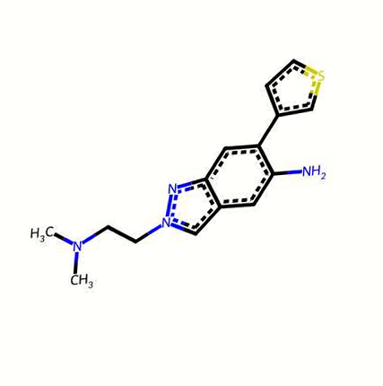 CN(C)CCn1cc2cc(N)c(-c3ccsc3)cc2n1